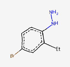 CCc1cc(Br)ccc1NN